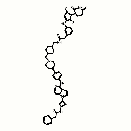 O=C(Cc1cccc(NC2=CC(=O)N(C3CCC(=O)NC3=O)C2=O)c1)NCC1CCC(CN2CCN(c3ccc(Nc4ncnc5c4ncn5C4CC(NC(=O)Cc5ccccc5)C4)cc3)CC2)CC1